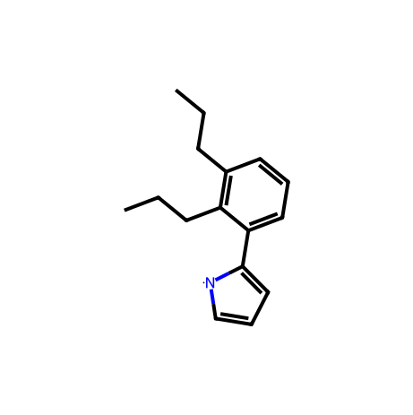 CCCc1cccc(C2=CC=C[N]2)c1CCC